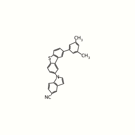 Cc1cc(C)cc(-c2ccc3sc4ccc(-n5ccc6cc(C#N)ccc65)cc4c3c2)c1